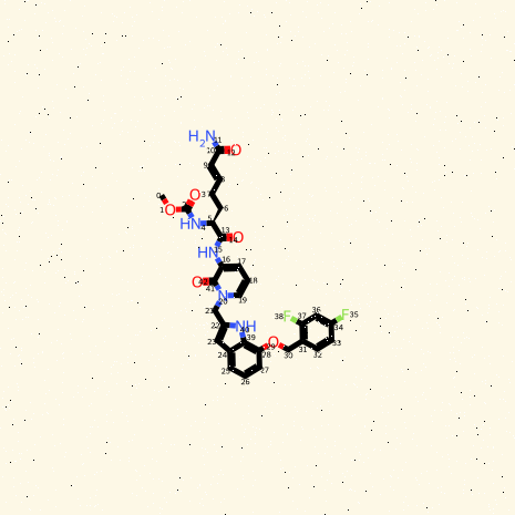 COC(=O)N[C@@H](CC/C=C/C(N)=O)C(=O)Nc1cccn(Cc2cc3cccc(OCc4ccc(F)cc4F)c3[nH]2)c1=O